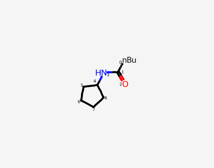 [CH2]CCCC(=O)NC1CCCC1